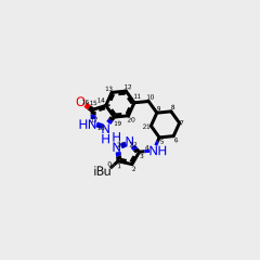 CCC(C)c1cc(NC2CCCC(Cc3ccc4c(=O)[nH][nH]c4c3)C2)n[nH]1